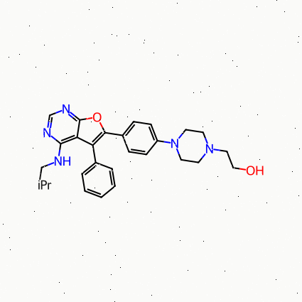 CC(C)CNc1ncnc2oc(-c3ccc(N4CCN(CCO)CC4)cc3)c(-c3ccccc3)c12